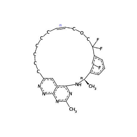 Cc1nc2c3cc(nnc3n1)CCCCCC/C=C\COCC(F)(F)c1cccc(c1F)[C@@H](C)N2